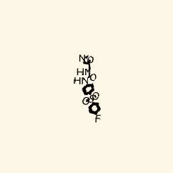 O=C(NCc1cnco1)Nc1ccc(S(=O)(=O)c2ccc(F)cc2)cc1